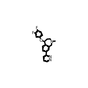 CN1CCC(Oc2ccc(F)c(F)c2)c2ccc(-c3cccnn3)cc2C1